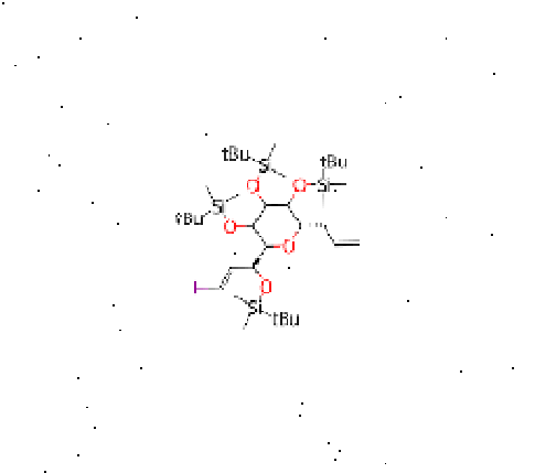 C=CC[C@@H]1O[C@@H](C(/C=C/I)O[Si](C)(C)C(C)(C)C)C(O[Si](C)(C)C(C)(C)C)C(O[Si](C)(C)C(C)(C)C)C1O[Si](C)(C)C(C)(C)C